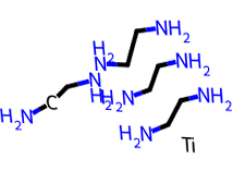 NCCN.NCCN.NCCN.NCCN.[Ti]